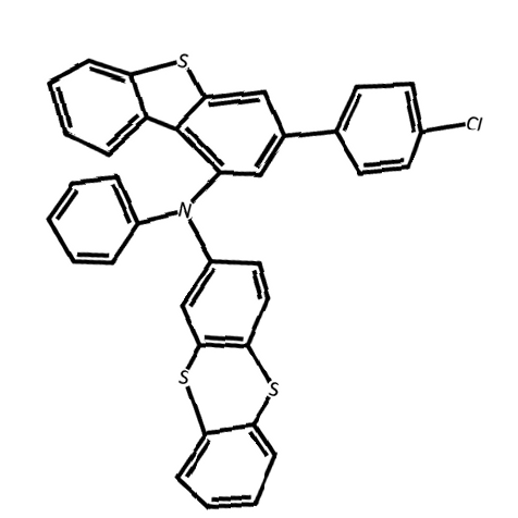 Clc1ccc(-c2cc(N(c3ccccc3)c3ccc4c(c3)Sc3ccccc3S4)c3c(c2)sc2ccccc23)cc1